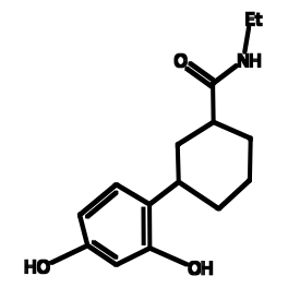 CCNC(=O)C1CCCC(c2ccc(O)cc2O)C1